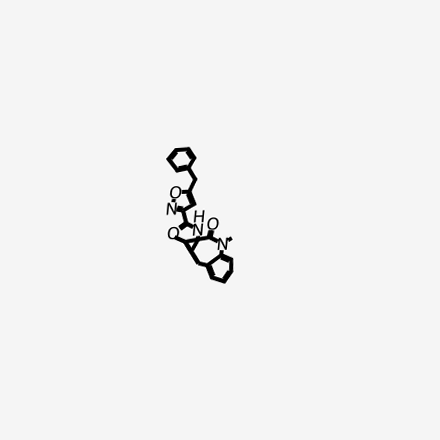 CN1C(=O)C2(NC(=O)c3cc(Cc4ccccc4)on3)C3C(c4ccccc41)C32C